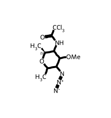 COC1C(N=[N+]=[N-])C(C)O[C@@H](C)C1NC(=O)C(Cl)(Cl)Cl